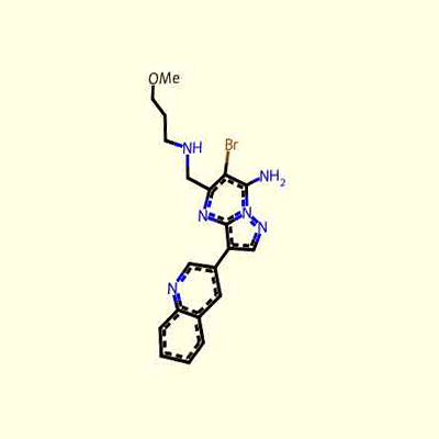 COCCCNCc1nc2c(-c3cnc4ccccc4c3)cnn2c(N)c1Br